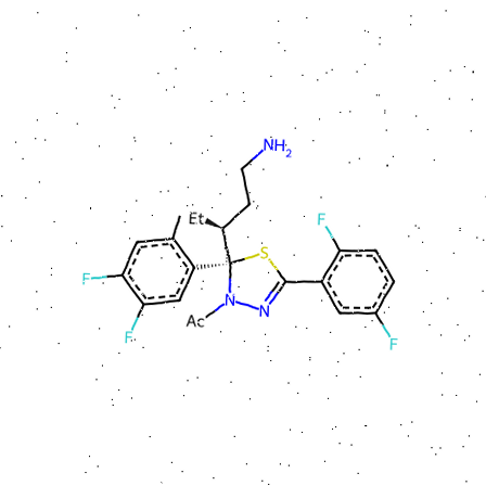 CC[C@@H](CCN)[C@@]1(c2cc(F)c(F)cc2C)SC(c2cc(F)ccc2F)=NN1C(C)=O